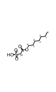 CCCCCCCOC(=O)CS(=O)(=O)O